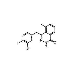 Cc1cccc2c(=O)[nH]nc(Cc3ccc(F)c(Br)c3)c12